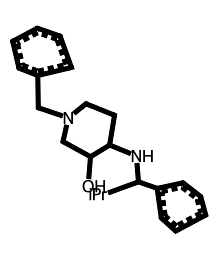 CC(C)C(NC1CCN(Cc2ccccc2)CC1O)c1ccccc1